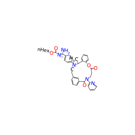 CCCCCCOC(=O)/N=C(\N)c1ccc(N2CCc3cccc(c3)C(=O)N(c3ccccn3)CCC(=O)Oc3ccccc3C2C)cc1